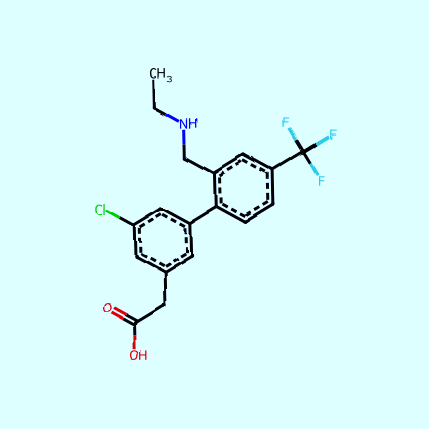 CCNCc1cc(C(F)(F)F)ccc1-c1cc(Cl)cc(CC(=O)O)c1